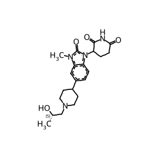 C[C@H](O)CN1CCC(c2ccc3c(c2)n(C)c(=O)n3C2CCC(=O)NC2=O)CC1